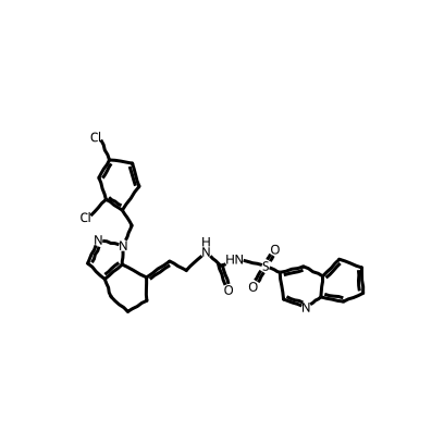 O=C(NCC=C1CCCc2cnn(Cc3ccc(Cl)cc3Cl)c21)NS(=O)(=O)c1cnc2ccccc2c1